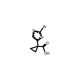 O=C(O)C1(c2csc(Br)n2)CC1